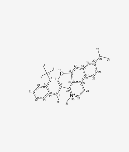 Cc1c2c(c(C(C)(C)C)c3ccccc13)Oc1cc3cc(C(C)C)ccc3c3cc[n+](C)c-2c13